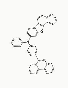 c1ccc(N(c2ccc(-c3cc4ccccc4c4ccccc34)cc2)c2ccc3c(c2)sc2c4ccccc4ccc32)cc1